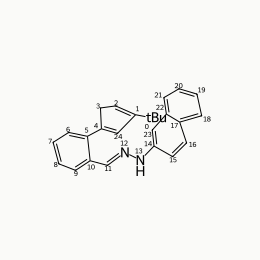 CC(C)(C)C1=CCC(c2ccccc2C=NNc2ccc3ccccc3c2)=C1